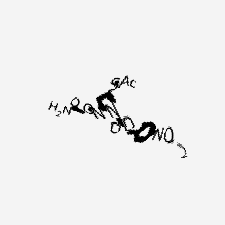 CC(=O)S[C@H]1C/C(=N\OCC(N)=O)N(C(=O)OCc2ccc([N+](=O)[O-])cc2)C1